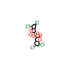 O=c1oc2c(Cl)cc(Cl)cc2cc1S(=O)(=O)c1cc2cc(Cl)cc(Cl)c2oc1=O